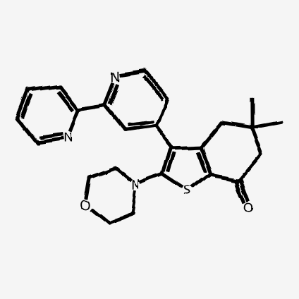 CC1(C)CC(=O)c2sc(N3CCOCC3)c(-c3ccnc(-c4ccccn4)c3)c2C1